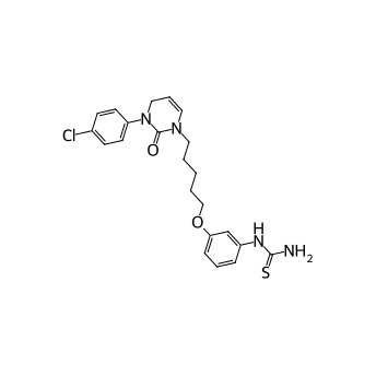 NC(=S)Nc1cccc(OCCCCCN2C=CCN(c3ccc(Cl)cc3)C2=O)c1